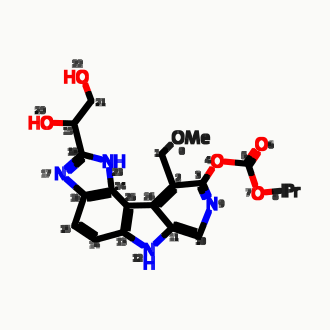 COCc1c(OC(=O)OC(C)C)ncc2[nH]c3ccc4nc(C(O)CO)[nH]c4c3c12